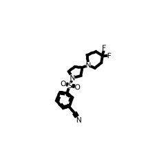 N#Cc1cccc(S(=O)(=O)N2CCC(N3CCC(F)(F)CC3)C2)c1